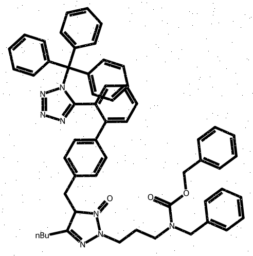 CCCCC1=NN(CCCN(Cc2ccccc2)C(=O)OCc2ccccc2)[N+](=O)C1Cc1ccc(-c2ccccc2-c2nnnn2C(c2ccccc2)(c2ccccc2)c2ccccc2)cc1